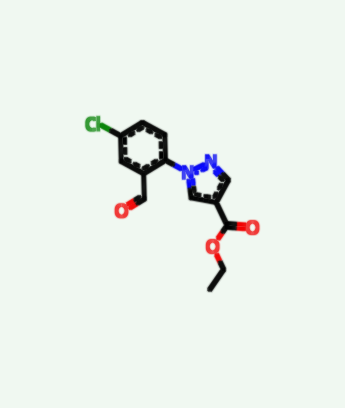 CCOC(=O)c1cnn(-c2ccc(Cl)cc2C=O)c1